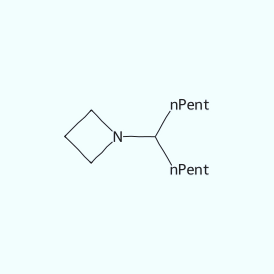 CCCCCC(CCCCC)N1CCC1